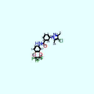 Cc1nn(-c2cccc(C(=O)Nc3ccc4c(c3)OC(F)(F)C(F)(F)O4)c2)c(C)c1Cl